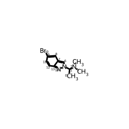 CC(N(C)C)n1cc2cc(Br)ccc2n1